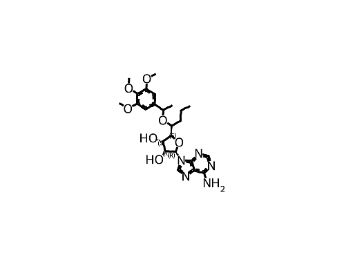 CCCC(OC(C)c1cc(OC)c(OC)c(OC)c1)[C@H]1O[C@@H](n2cnc3c(N)ncnc32)[C@H](O)[C@@H]1O